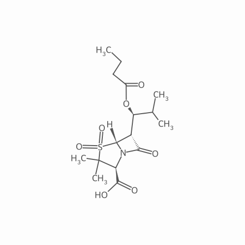 CCCC(=O)O[C@@H](C(C)C)[C@@H]1C(=O)N2[C@@H](C(=O)O)C(C)(C)S(=O)(=O)[C@H]12